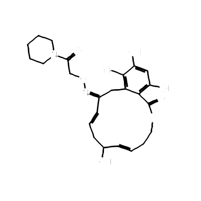 O=C1OCC/C=C/C(O)C/C=C/C(=N/OCC(=O)N2CCCCC2)Cc2c(Cl)c(O)cc(O)c21